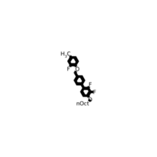 CCCCCCCCOc1ccc(-c2ccc(COc3ccc(C)cc3F)cc2)c(F)c1F